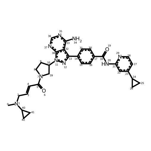 CN(C/C=C/C(=O)N1CCC(n2nc(-c3ccc(C(=O)Nc4cc(C5CC5)ccn4)cc3)c3c(N)ncnc32)C1)C1CC1